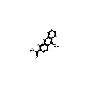 Cc1c2ccccc2cc2cc(C(=O)O)ccc12